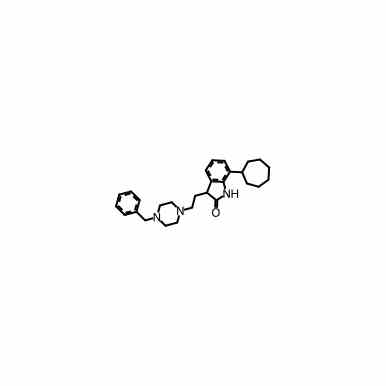 O=C1Nc2c(C3CCCCCC3)cccc2C1CCN1CCN(Cc2ccccc2)CC1